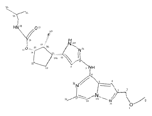 COCc1cc2c(Nc3cc([C@@H]4CC[C@H](OC(=O)NC(C)C)[C@@H]4F)[nH]n3)nc(C)cn2n1